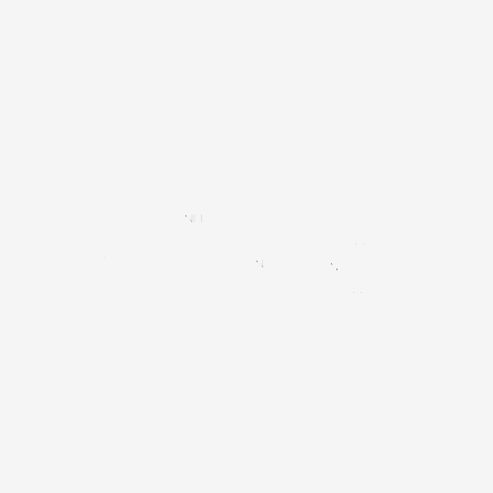 Cc1ccc(NCCCN2CC3CN(S(=O)(=O)c4cccs4)CC3C2)cc1Cl